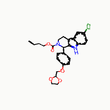 C=CCCOC(=O)N1CCc2c([nH]c3ccc(Cl)cc23)C1c1ccc(OCC2OCCO2)cc1